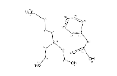 CCCCN(CCO)CCO.O=C(O)Cc1ccccc1